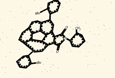 Cc1ccccc1-n1c(=O)c2c3cc(-c4ccccc4C(C)(C)C)c4ccc5ccc6c(-c7ccccc7C(C)(C)C)cc(c2c1=O)c1c6c5c4c31